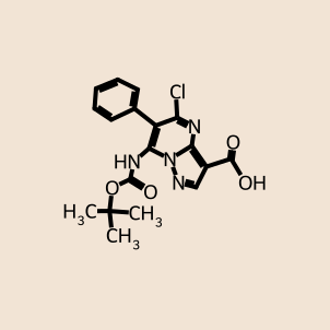 CC(C)(C)OC(=O)Nc1c(-c2ccccc2)c(Cl)nc2c(C(=O)O)cnn12